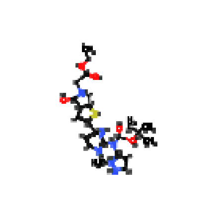 CCOC(=O)CN1Cc2sc(-c3ccnc(N(C(=O)OC(C)(C)C)c4ccnn4C)n3)cc2C1=O